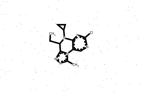 CCC1c2nnc(C)n2-c2cnc(Cl)nc2N1C1CC1